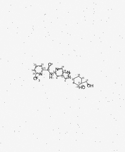 O=C(Nc1cc2cn([C@H]3CC[C@](O)(CO)CC3)nc2cn1)c1cccc(C(F)(F)F)n1